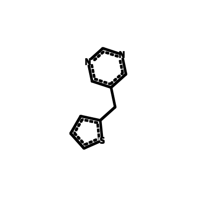 c1csc(Cc2cncnc2)c1